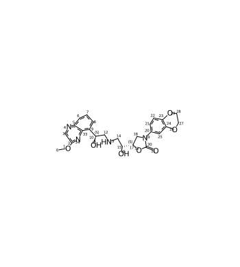 COc1cnc2cccc([C@H](O)CNCC(O)[C@@H]3CN(c4ccc5c(c4)OCCO5)C(=O)O3)c2n1